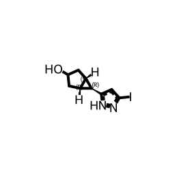 OC1C[C@@H]2[C@H](C1)[C@H]2c1cc(I)n[nH]1